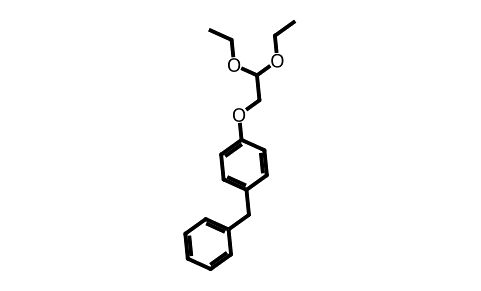 CCOC(COc1ccc(Cc2ccccc2)cc1)OCC